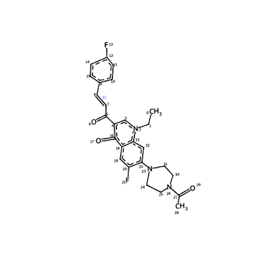 CCn1cc(C(=O)/C=C/c2ccc(F)cc2)c(=O)c2cc(F)c(N3CCN(C(C)=O)CC3)cc21